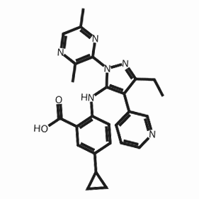 CCc1nn(-c2nc(C)cnc2C)c(Nc2ccc(C3CC3)cc2C(=O)O)c1-c1cccnc1